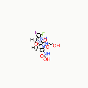 Cc1c(=O)n(C)c(Nc2ccc(I)cc2F)c2c(=O)n(CCCO)c(=O)n(-c3cccc(NC(=O)CO)c3)c12